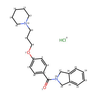 Cl.O=C(c1ccc(OCCCN2CCCCC2)cc1)N1Cc2ccccc2C1